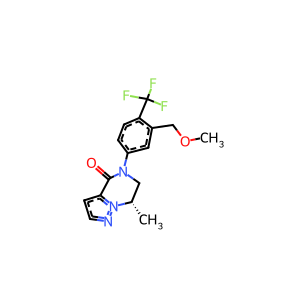 COCc1cc(N2C[C@H](C)n3nccc3C2=O)ccc1C(F)(F)F